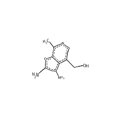 Cc1ncc(CO)c2c(N)c(N)oc12